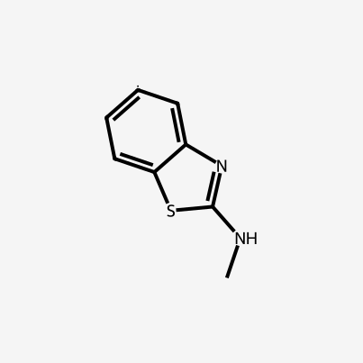 CNc1nc2c[c]ccc2s1